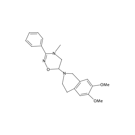 COc1cc2c(cc1OC)CN(C1CN(C)C(c3ccccc3)=NO1)CC2